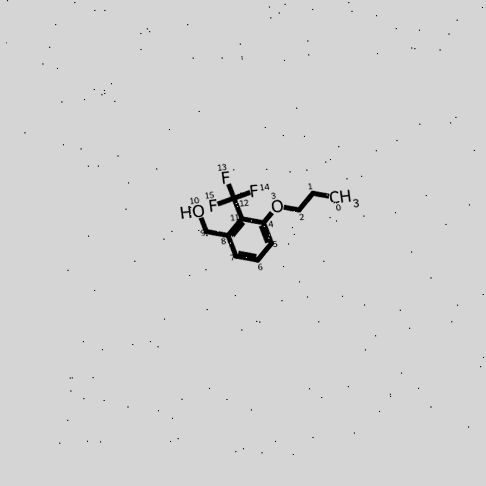 CCCOc1cccc([CH]O)c1C(F)(F)F